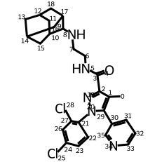 Cc1c(C(=O)NCCNC2C3CC4CC(C3)CC2C4)nn(-c2ccc(Cl)cc2Cl)c1-c1cccnc1